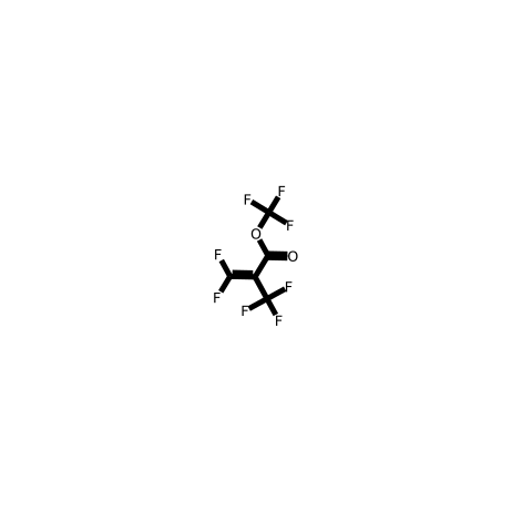 O=C(OC(F)(F)F)C(=C(F)F)C(F)(F)F